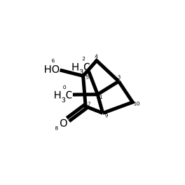 CC1(C)C2CC(O)C(=O)C1C2